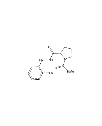 CNC(=O)N1CCCC1C(=O)NNc1ccccc1C#N